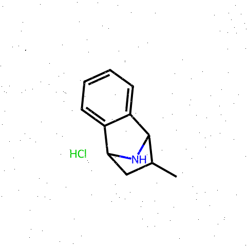 CC1CC2NC1c1ccccc12.Cl